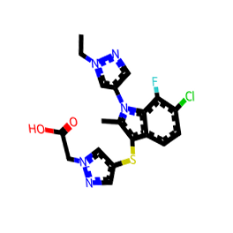 CCn1cc(-n2c(C)c(Sc3cnn(CC(=O)O)c3)c3ccc(Cl)c(F)c32)cn1